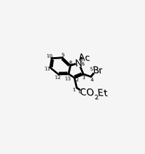 CCOC(=O)Cc1c(CBr)n(C(C)=O)c2ccccc12